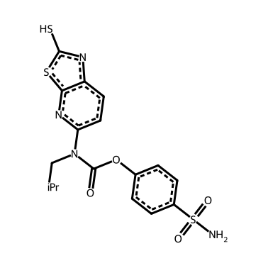 CC(C)CN(C(=O)Oc1ccc(S(N)(=O)=O)cc1)c1ccc2nc(S)sc2n1